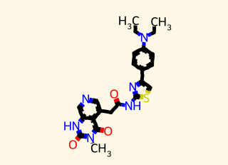 CCN(CC)c1ccc(-c2csc(NC(=O)Cc3cncc4[nH]c(=O)n(C)c(=O)c34)n2)cc1